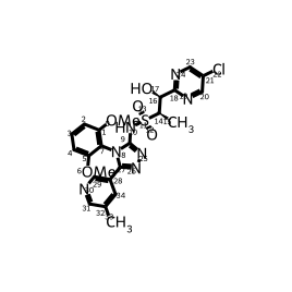 COc1cccc(OC)c1-n1c(NS(=O)(=O)[C@H](C)[C@@H](O)c2ncc(Cl)cn2)nnc1-c1cncc(C)c1